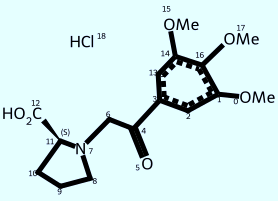 COc1cc(C(=O)CN2CCC[C@H]2C(=O)O)cc(OC)c1OC.Cl